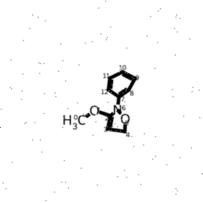 COC1=CCON1c1ccccc1